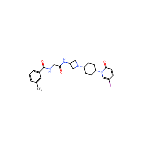 O=C(CNC(=O)c1cccc(C(F)(F)F)c1)NC1CN([C@H]2CC[C@@H](n3cc(I)ccc3=O)CC2)C1